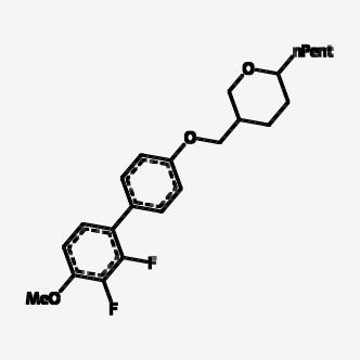 CCCCCC1CCC(COc2ccc(-c3ccc(OC)c(F)c3F)cc2)CO1